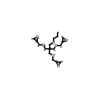 CCCOCC(COCC1CO1)(COCC1CO1)COCC1CO1